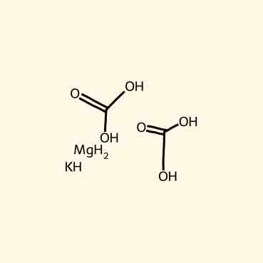 O=C(O)O.O=C(O)O.[KH].[MgH2]